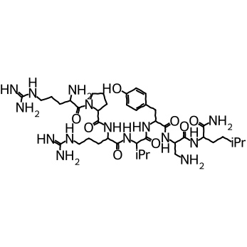 CC(C)CCC(NC(=O)C(CN)NC(=O)C(Cc1ccc(O)cc1)NC(=O)C(NC(=O)C(CCCNC(=N)N)NC(=O)C1CCCN1C(=O)C(N)CCCNC(=N)N)C(C)C)C(N)=O